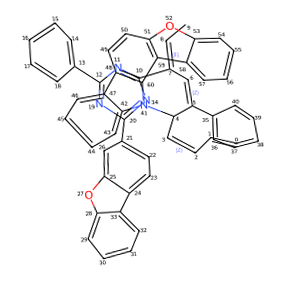 C=C/C=C\C(/C(=C\C(=C/C)c1nc(-c2ccccc2)nc(-c2ccc3c(c2)oc2ccccc23)n1)c1ccccc1)n1c2ccccc2c2ccc3oc4ccccc4c3c21